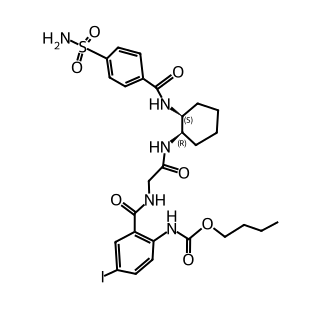 CCCCOC(=O)Nc1ccc(I)cc1C(=O)NCC(=O)N[C@@H]1CCCC[C@@H]1NC(=O)c1ccc(S(N)(=O)=O)cc1